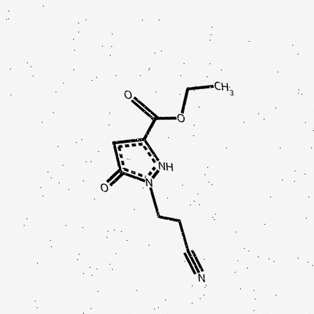 CCOC(=O)c1cc(=O)n(CCC#N)[nH]1